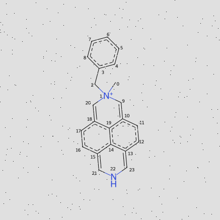 C[N+]1(Cc2ccccc2)C=c2ccc3c4c(ccc(c24)=C1)=CNC=3